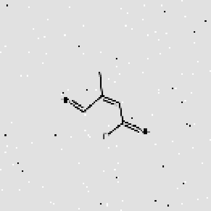 C/C(C=N)=C/C(=N)F